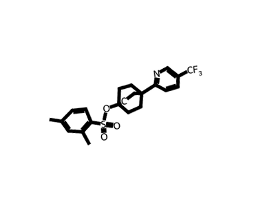 Cc1ccc(S(=O)(=O)OC23CCC(c4ccc(C(F)(F)F)cn4)(CC2)CC3)c(C)c1